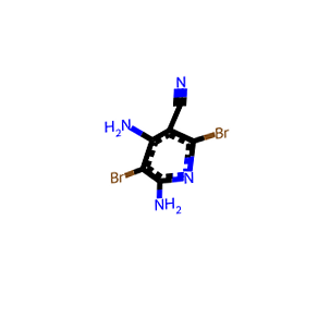 N#Cc1c(Br)nc(N)c(Br)c1N